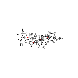 COc1cccc(C(=O)N[C@H]2C[C@H]3CC[C@@H](C2)N3c2ccc(C(=O)Nc3ccc(F)cc3)cn2)c1C